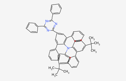 CC(C)(C)c1ccc(N(c2ccc(C(C)(C)C)cc2-c2ccccc2)c2c(-c3ccccc3)cc(-c3nc(-c4ccccc4)nc(-c4ccccc4)n3)cc2-c2ccccc2)cc1